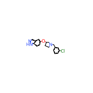 Clc1cccc(CN2CCC(Oc3ccc4[nH]ncc4c3)C2)c1